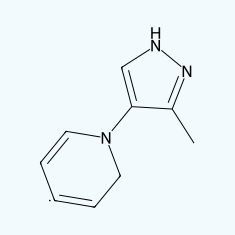 Cc1n[nH]cc1N1C=C[C]=CC1